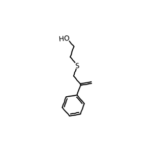 C=C(CSCCO)c1ccccc1